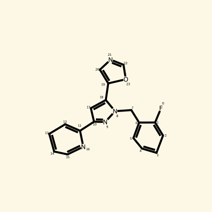 Fc1ccccc1Cn1nc(-c2ccccn2)cc1-c1cnco1